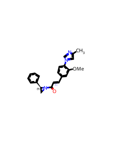 COc1cc(/C=C/C(=O)N2C[C@H]2c2ccccc2)ccc1-n1cnc(C)c1